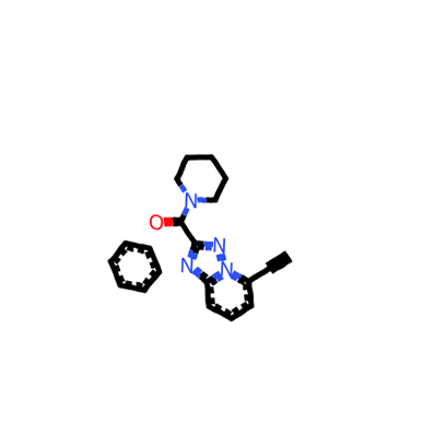 C#Cc1cccc2nc(C(=O)N3CCCCC3)nn12.c1ccccc1